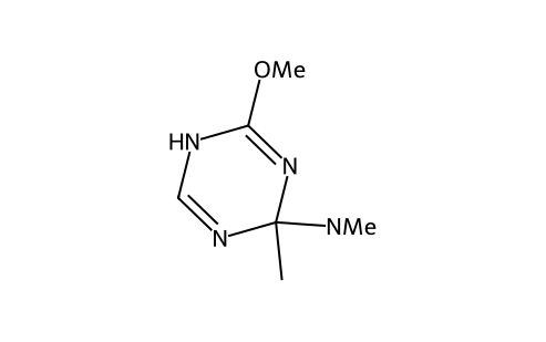 CNC1(C)N=CNC(OC)=N1